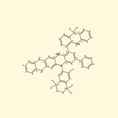 Cc1cc2c(cc1N1c3cc4c(cc3Bc3c(-c5cccc6c5Nc5ccccc5C6(C)C)cc(-c5ccccc5)cc31)Sc1ccccc1O4)C(C)(C)CCC2(C)C